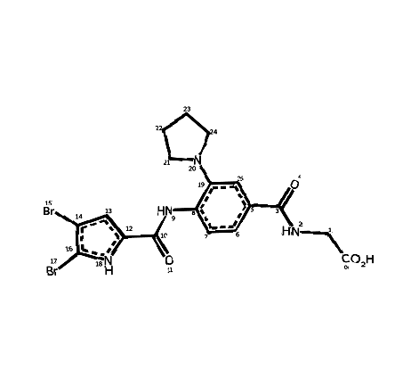 O=C(O)CNC(=O)c1ccc(NC(=O)c2cc(Br)c(Br)[nH]2)c(N2CCCC2)c1